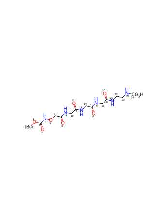 CC(C)(C)OC(=O)NOCC(=O)NCC(=O)NCC(=O)NCC(=O)NCCNC(=O)O